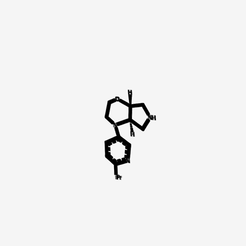 CC(C)c1ccc(N2CCO[C@@H]3CNC[C@H]32)cn1